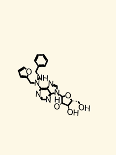 OC[C@H]1OC(n2cnc3c(N(Cc4ccco4)NCc4ccccc4)ncnc32)[C@@H](O)[C@@H]1O